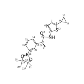 C[C@H](C(=O)Nc1ncc(C2CC2)s1)c1cccc(B2OC(C)(C)C(C)(C)O2)c1